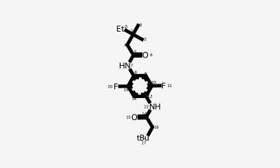 CCC(C)(C)CC(=O)Nc1cc(F)c(NC(=O)CC(C)(C)C)cc1F